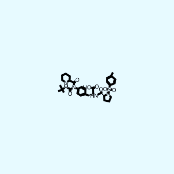 Cc1ccc(S(=O)(=O)N2CCC[C@H]2C(=O)N[C@@H](Cc2ccc(N(C(=O)OC(C)(C)C)C(=O)C3CCCCN3)cc2)C(=O)O)cc1